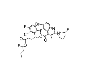 CCCC(F)OC(=O)CCC(CNC(=O)c1c(C)c(N2CCCC(F)C2)nc2ccc(Br)cc12)c1c(F)ccc(F)c1Cl